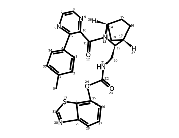 Cc1ccc(-c2nccnc2C(=O)N2[C@@H]3CC[C@@H](C3)[C@H]2CNC(=O)Oc2cccc3ncsc23)cc1